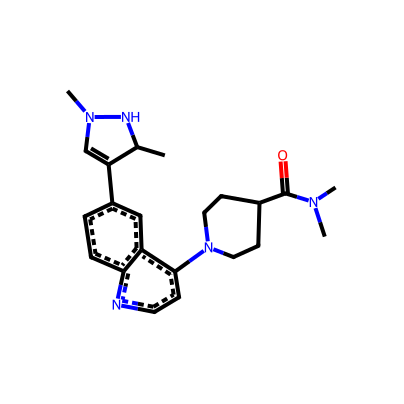 CC1NN(C)C=C1c1ccc2nccc(N3CCC(C(=O)N(C)C)CC3)c2c1